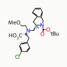 COCCN(C[C@H]1Cc2ccccc2CN1C(=O)OC(C)(C)C)[C@H](Cc1ccc(Cl)cc1)C(=O)O